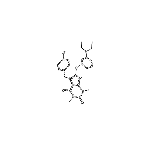 CCN(CC)c1cccc(Oc2nc3c(c(=O)n(C)c(=O)n3C)n2Cc2ccc(Cl)cc2)c1